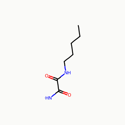 CCCCCNC(=O)C([NH])=O